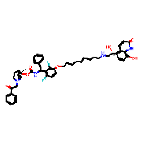 O=C(NC(c1ccccc1)c1c(F)ccc(OCCCCCCCCCNC[C@H](O)c2ccc(O)c3[nH]c(=O)ccc23)c1F)O[C@H]1C[N+]2(CC(=O)c3ccccc3)CCC1CC2